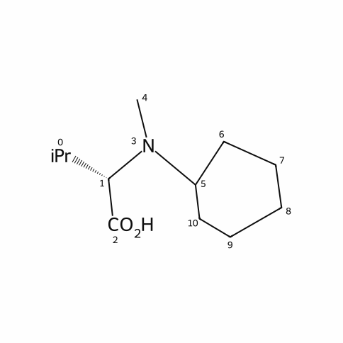 CC(C)[C@@H](C(=O)O)N(C)C1CCCCC1